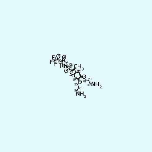 Cc1c(S(=O)(=O)NC[PH](=O)OC(=O)C(F)(F)F)sc2cc(OCCCN)c(OCCCN)cc12